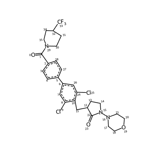 O=C(c1ccc(-c2cc(Cl)c(CC3CCN(N4CCOCC4)C3=O)c(Cl)c2)cc1)N1CCC(C(F)(F)F)CC1